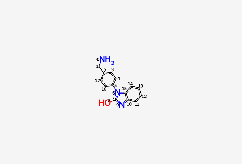 NCc1ccc(-n2c(O)nc3ccccc32)cc1